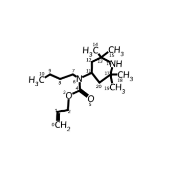 C=CCOC(=O)N(CCCC)C1CC(C)(C)NC(C)(C)C1